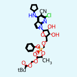 C[C@H](O[P@@](=O)(COCC1O[C@@H](n2ccc3c(NC4CCCC4)c(C#N)c(Cl)nc32)[C@H](O)[C@@H]1O)Oc1ccccc1)C(=O)OCOC(=O)C(C)(C)C